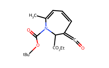 CCOC(=O)C1C(=C=O)C=CC=C(C)N1C(=O)OC(C)(C)C